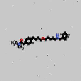 CN(C)C(=O)Cc1ccc(CCCCOCCCCCNCc2ccccc2)cc1